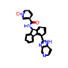 O=C(NC1c2ccccc2-c2c(-c3nc4cnccc4[nH]3)cccc21)c1ccc[n+]([O-])c1